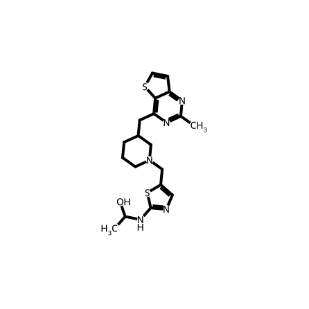 Cc1nc(CC2CCCN(Cc3cnc(NC(C)O)s3)C2)c2sccc2n1